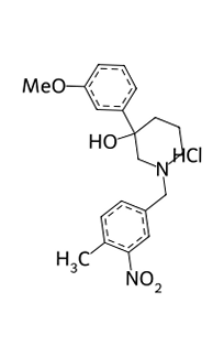 COc1cccc(C2(O)CCCN(Cc3ccc(C)c([N+](=O)[O-])c3)C2)c1.Cl